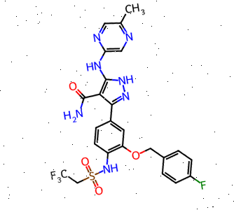 Cc1cnc(Nc2[nH]nc(-c3ccc(NS(=O)(=O)CC(F)(F)F)c(OCc4ccc(F)cc4)c3)c2C(N)=O)cn1